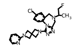 CC(CF)N1Cc2cc(Cl)ccc2-n2c(nnc2N2CC3(CN(c4ccccn4)C3)C2)C1